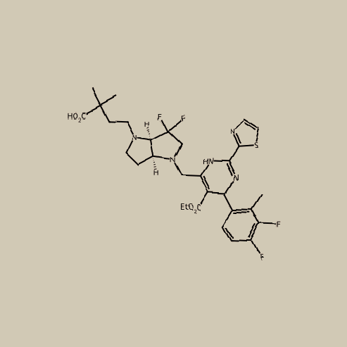 CCOC(=O)C1=C(CN2CC(F)(F)[C@H]3[C@@H]2CCN3CCC(C)(C)C(=O)O)NC(c2nccs2)=NC1c1ccc(F)c(F)c1C